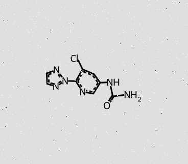 NC(=O)Nc1cnc(-n2nccn2)c(Cl)c1